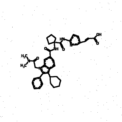 CN(C)C(=O)Cn1c(-c2ccccc2)c(C2CCCCC2)c2ccc(C(=O)NC3(C(=O)Nc4ccc(/C=C/C(=O)O)cn4)CCCC3)cc21